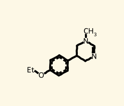 CCOc1ccc(C2CN=CN(C)C2)cc1